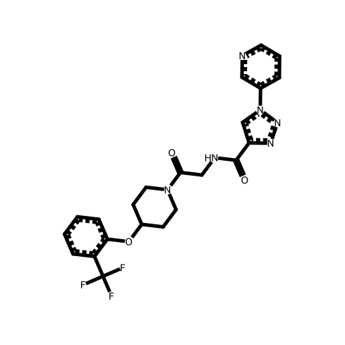 O=C(NCC(=O)N1CCC(Oc2ccccc2C(F)(F)F)CC1)c1cn(-c2cccnc2)nn1